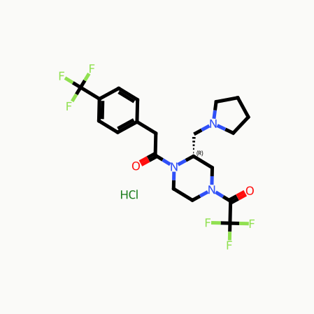 Cl.O=C(Cc1ccc(C(F)(F)F)cc1)N1CCN(C(=O)C(F)(F)F)C[C@H]1CN1CCCC1